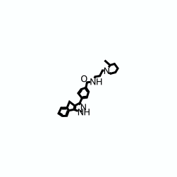 CC1CCCCN1CCCNC(=O)c1ccc(-c2n[nH]c3c2Cc2ccccc2-3)cc1